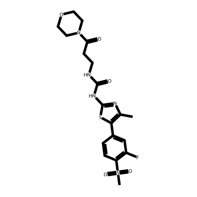 Cc1nc(NC(=O)NCCC(=O)N2CCOCC2)sc1-c1ccc(S(C)(=O)=O)c(F)c1